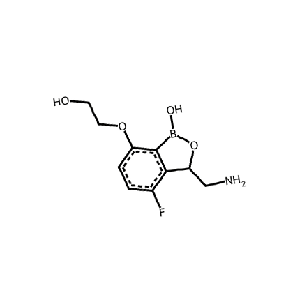 NCC1OB(O)c2c(OCCO)ccc(F)c21